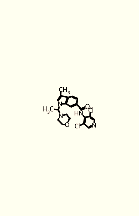 Cc1cn(C(C)N2CCOCC2)c2cc(C(=O)Nc3c(Cl)cncc3Cl)ccc12